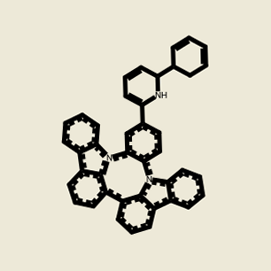 C1=CCC(C2C=CC=C(c3ccc4c(c3)n3c5ccccc5c5cccc(c6cccc7c8ccccc8n4c76)c53)N2)C=C1